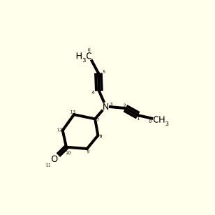 CC#CN(C#CC)C1CCC(=O)CC1